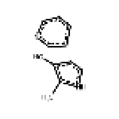 Cc1[nH]ccc1O.c1ccncc1